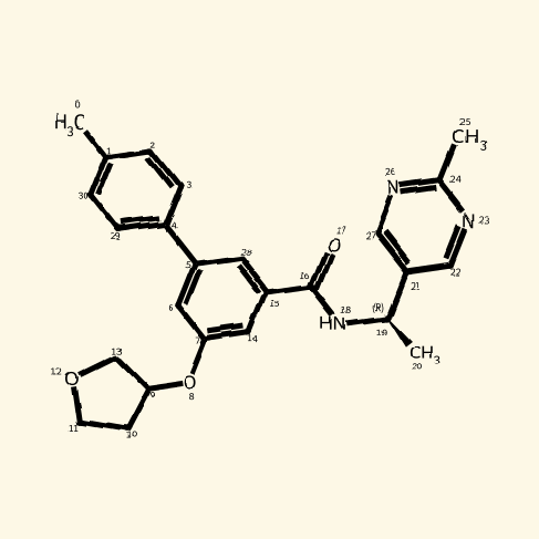 Cc1ccc(-c2cc(OC3CCOC3)cc(C(=O)N[C@H](C)c3cnc(C)nc3)c2)cc1